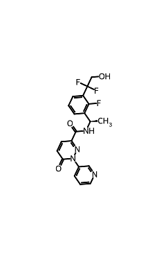 C[C@@H](NC(=O)c1ccc(=O)n(-c2cccnc2)n1)c1cccc(C(F)(F)CO)c1F